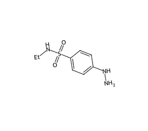 CCNS(=O)(=O)c1ccc(NN)cc1